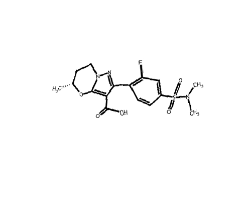 C[C@@H]1CCn2nc(-c3ccc(S(=O)(=O)N(C)C)cc3F)c(C(=O)O)c2O1